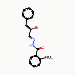 O=C(N/N=C/C(Br)=C/c1ccccc1)c1ccccc1[N+](=O)[O-]